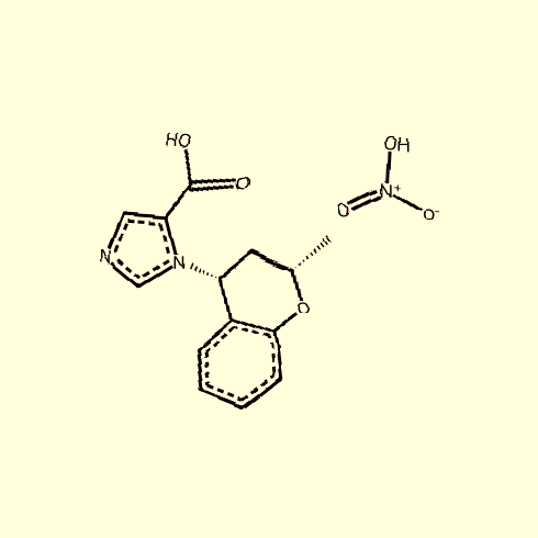 C[C@H]1C[C@@H](n2cncc2C(=O)O)c2ccccc2O1.O=[N+]([O-])O